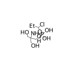 CCC(Cl)OP(O)O.NC(CO)(CO)CO